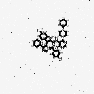 COc1ncnc(N2CCN(C3CCCCC3)CC2)c1NC(=O)c1[nH]c2cc(Cl)ccc2c1-c1c(-c2ccccc2)ncn1[C@@H](C)c1ccc(Cl)cc1